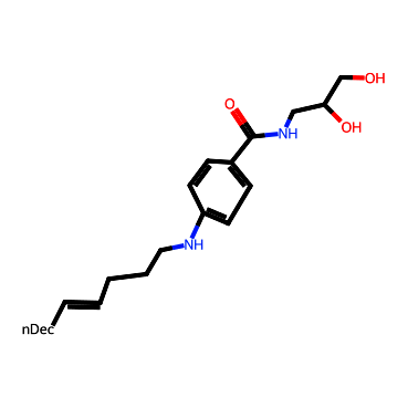 CCCCCCCCCCC=CCCCNc1ccc(C(=O)NCC(O)CO)cc1